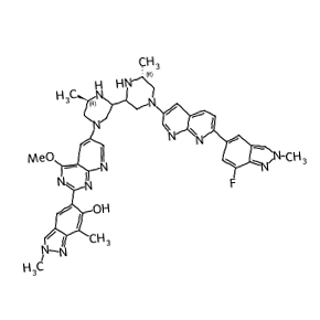 COc1nc(-c2cc3cn(C)nc3c(C)c2O)nc2ncc(N3CC(C4CN(c5cnc6nc(-c7cc(F)c8nn(C)cc8c7)ccc6c5)C[C@@H](C)N4)N[C@H](C)C3)cc12